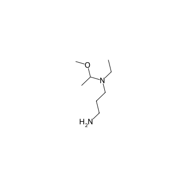 CCN(CCCN)C(C)OC